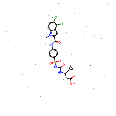 Cn1c(C(=O)Nc2ccc(S(=O)(=O)NC(=O)NC(CC(=O)O)C3CC3)cc2)cc2c(Cl)c(Cl)ccc21